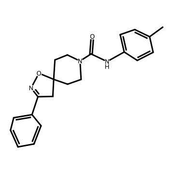 Cc1ccc(NC(=O)N2CCC3(CC2)CC(c2ccccc2)=NO3)cc1